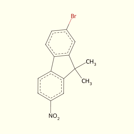 CC1(C)c2cc(Br)ccc2-c2ccc([N+](=O)[O-])cc21